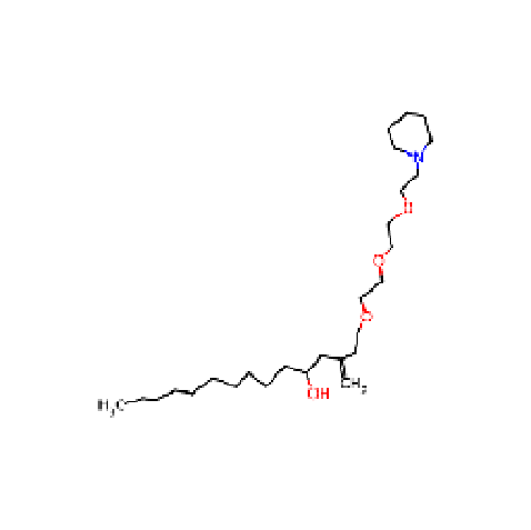 C=C(CCOCCOCCOCCN1CCCCC1)CC(O)CCCCCCCCCC